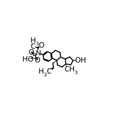 C=CC[C@]12CC[C@]3(C)C[C@H](O)CC3C1CCc1cc(N(C(C)=O)S(=O)(=O)O)ccc12